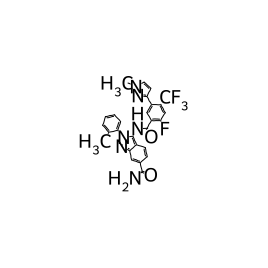 Cc1ccccc1-n1nc2cc(C(N)=O)ccc2c1NC(=O)c1cc(-c2ccn(C)n2)c(C(F)(F)F)cc1F